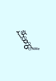 C=C(C)CCCN(Cc1ccc(OC(CCNC)c2ccccc2Cl)cc1)C(=O)c1cncnc1C